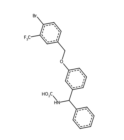 O=C(O)NC(c1ccccc1)c1cccc(OCc2ccc(Br)c(C(F)(F)F)c2)c1